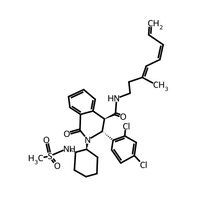 C=C/C=C\C=C(/C)CCNC(=O)[C@@H]1c2ccccc2C(=O)N([C@H]2CCCC[C@@H]2NS(C)(=O)=O)[C@H]1c1ccc(Cl)cc1Cl